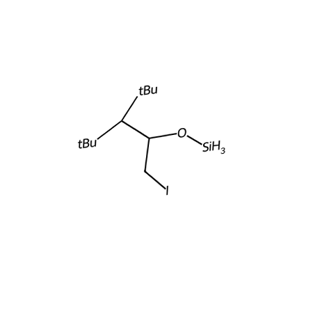 CC(C)(C)C(C(CI)O[SiH3])C(C)(C)C